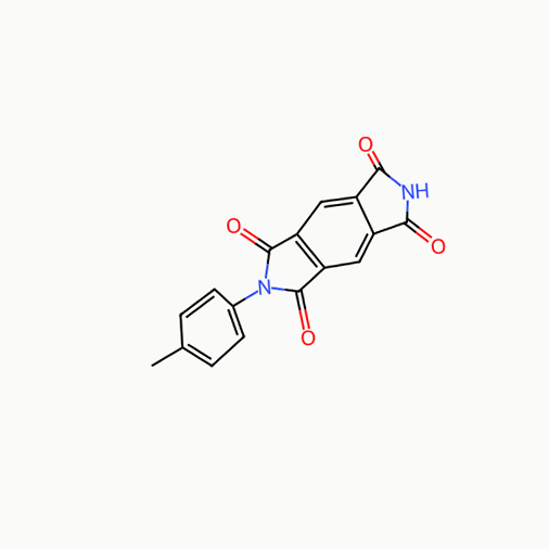 Cc1ccc(-n2c(=O)c3cc4c(=O)[nH]c(=O)c4cc3c2=O)cc1